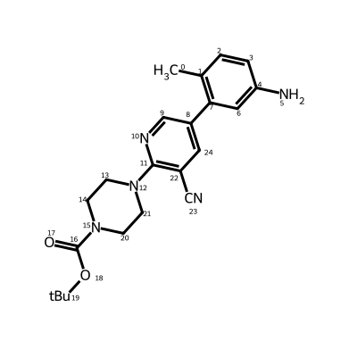 Cc1ccc(N)cc1-c1cnc(N2CCN(C(=O)OC(C)(C)C)CC2)c(C#N)c1